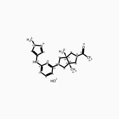 Cl.Cn1cc(Nc2nccc(N3C[C@]4(C)CN(C(=O)C(F)(F)F)C[C@]4(C)C3)n2)cn1